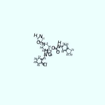 NCC(=O)N1CCC(COC(=O)Nc2ccc3c(c2)CCC3)(C(=O)NCc2ccccc2Cl)CC1